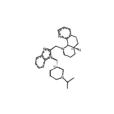 CC(C)N1CCC[C@H](Cn2c(CN3CCC[C@H]4CCc5cccnc5C43)nc3ccccc32)C1